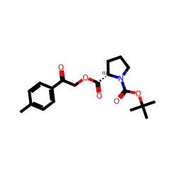 Cc1ccc(C(=O)COC(=O)[C@@H]2CCCN2C(=O)OC(C)(C)C)cc1